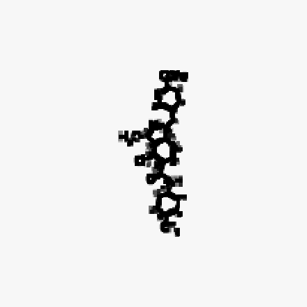 COc1ccc(Cn2nc(C)c3c(Cl)c(C(=O)Nc4ccc(C(F)(F)F)cc4)cnc32)cn1